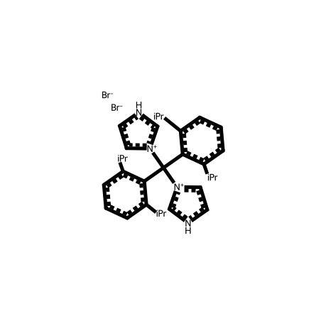 CC(C)c1cccc(C(C)C)c1C(c1c(C(C)C)cccc1C(C)C)([n+]1cc[nH]c1)[n+]1cc[nH]c1.[Br-].[Br-]